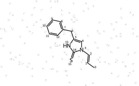 C/C=C/n1cc(Cc2ccccc2)[nH]c1=S